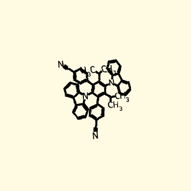 CC(C)c1c(-c2ccc(C#N)cc2)c(-n2c3ccccc3c3ccccc32)c(-c2ccc(C#N)cc2)c(C(C)C)c1-n1c2ccccc2c2ccccc21